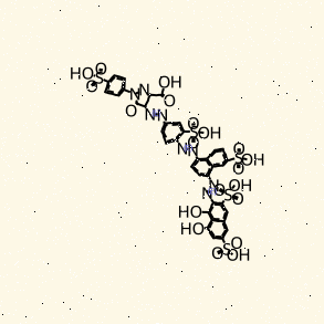 O=C(O)C1=NN(c2ccc(S(=O)(=O)O)cc2)C(=O)C1/N=N/c1ccc(/N=N/c2ccc(/N=N/c3c(S(=O)(=O)O)cc4cc(S(=O)(=O)O)cc(O)c4c3O)c3cc(S(=O)(=O)O)ccc23)c(S(=O)(=O)O)c1